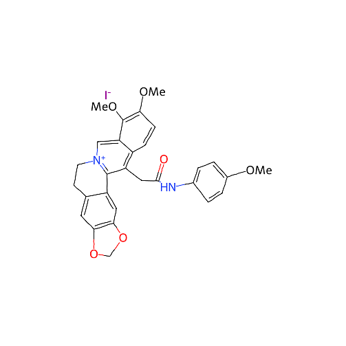 COc1ccc(NC(=O)Cc2c3[n+](cc4c(OC)c(OC)ccc24)CCc2cc4c(cc2-3)OCO4)cc1.[I-]